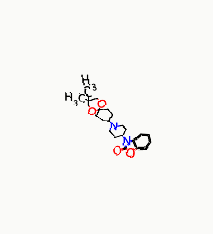 CC1(C)COC2(CCC(N3CCC(n4c(=O)oc5ccccc54)CC3)CC2)OC1